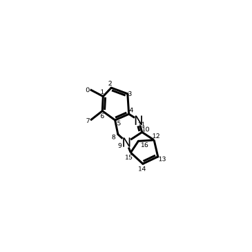 Cc1ccc2c(c1C)CN1C(=N2)C2C=CC1C2